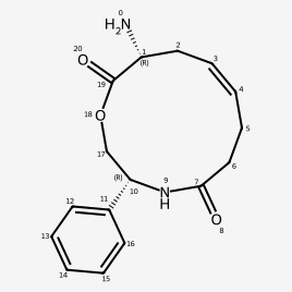 N[C@@H]1CC=CCCC(=O)N[C@H](c2ccccc2)COC1=O